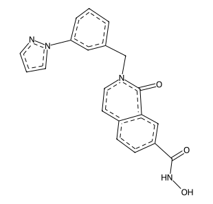 O=C(NO)c1ccc2ccn(Cc3cccc(-n4cccn4)c3)c(=O)c2c1